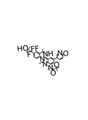 Cc1nc(NC(C)c2cccc(C(F)(F)C(C)(C)O)c2F)c2cc(-c3ccc(=O)n(C)c3)c3c(c2n1)N(C)C(=O)C(C)(C)O3